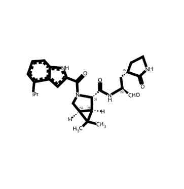 CC(C)c1cccc2[nH]c(C(=O)N3C[C@H]4[C@@H]([C@H]3C(=O)N[C@H](C=O)C[C@@H]3CCNC3=O)C4(C)C)cc12